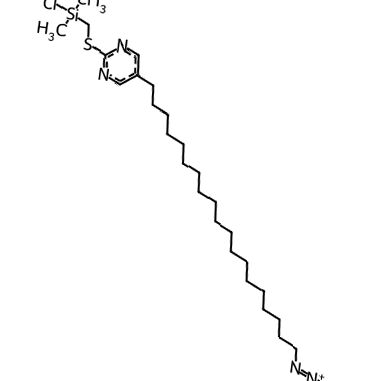 C[Si](C)(Cl)CSc1ncc(CCCCCCCCCCCCCCCCCCCN=[N+]=[N-])cn1